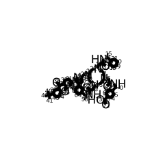 C[C@H](NC(=O)CN1CCN(CC(=O)N[C@@H](C)c2ccccc2)CCN(Cc2ccn(-c3ccc4c(=O)c5cc(C(C)(C)C)ccc5oc4n3)n2)CCN(CC(=O)N[C@@H](C)c2ccccc2)CC1)c1ccc(C(=O)O)cc1